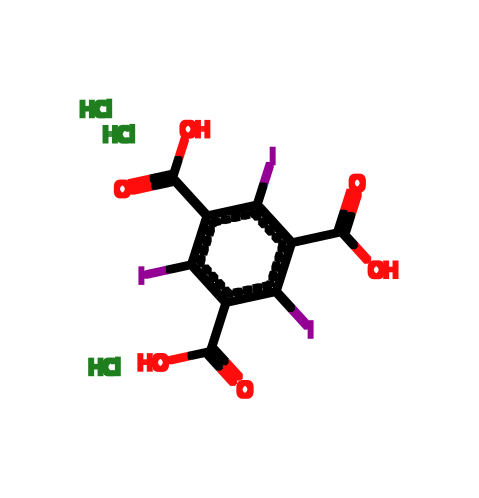 Cl.Cl.Cl.O=C(O)c1c(I)c(C(=O)O)c(I)c(C(=O)O)c1I